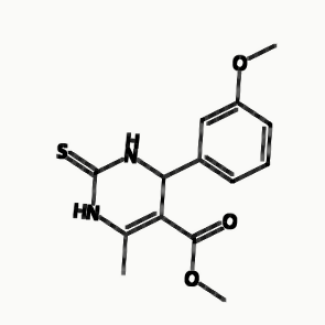 COC(=O)C1=C(C)NC(=S)NC1c1cccc(OC)c1